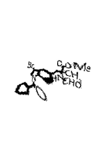 COC(=O)[C@](C)(Cc1ccc2c(c1)c(Br)cn2C(=O)c1ccccc1)NC=O